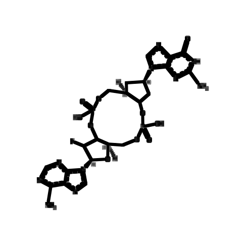 Nc1nc2c(ncn2[C@H]2CC3OP(=O)(O)OC[C@H]4O[C@@H](n5cnc6c(N)ncnc65)C(F)C4OP(=O)(O)OC[C@H]3C2)c(=O)[nH]1